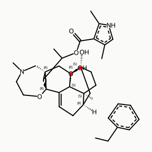 CCc1ccccc1.Cc1c[nH]c(C)c1C(=O)OC(C)C1=CC[C@@]23OCCN(C)C[C@@]12C[C@@H](O)[C@]12O[C@@]4(O)CC[C@@]1(C)[C@H](CC=C32)C4